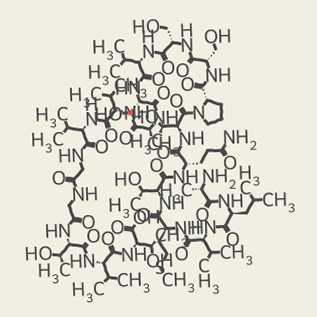 CSCC[C@H](NC(=O)[C@@H](NC(=O)[C@H](CC(C)C)NC(=O)[C@H](C)N)C(C)C)C(=O)N[C@H](C(=O)N[C@@H](CCC(N)=O)C(=O)N[C@H](C(=O)N1CCC[C@H]1C(=O)N[C@@H](CO)C(=O)N[C@@H](CO)C(=O)N[C@H](C(=O)N[C@@H](CO)C(=O)N[C@@H](C)C(=O)N[C@H](C(=O)N[C@H](C(=O)NCC(=O)NCC(=O)N[C@H](C(=O)N[C@H](C(=O)N[C@H](C(=O)O)[C@@H](C)O)C(C)C)[C@@H](C)O)C(C)C)C(C)C)C(C)C)[C@@H](C)O)[C@@H](C)O